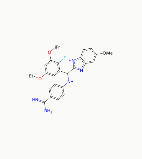 CCOc1cc(OC(C)C)c(F)c(C(Nc2ccc(C(=N)N)cc2)c2nc3cc(OC)ccc3[nH]2)c1